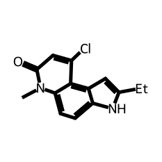 CCc1cc2c(ccc3c2c(Cl)cc(=O)n3C)[nH]1